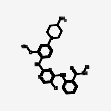 CCNC(=O)c1ccccc1Nc1nc(Nc2ccc(N3CCC(N)CC3)cc2OC(C)(C)C)ncc1Cl